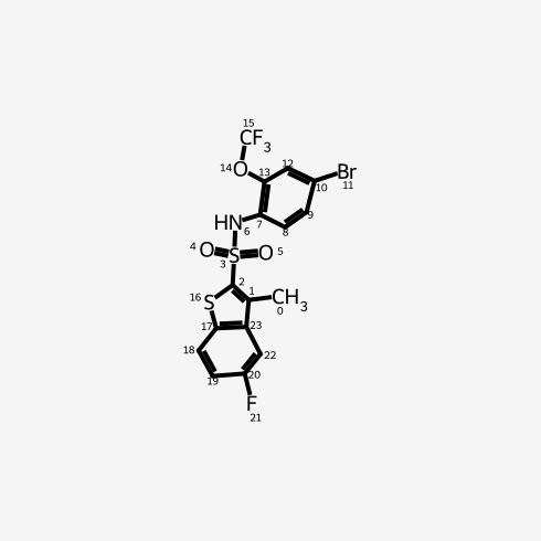 Cc1c(S(=O)(=O)Nc2ccc(Br)cc2OC(F)(F)F)sc2ccc(F)cc12